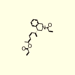 C=CC(=O)O/C(C)=C/C=C\C(=C)[C@H]1CN(C(=O)C=C)Cc2ccccc21